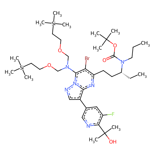 CCCN(C(=O)OC(C)(C)C)[C@H](CC)CCc1nc2c(-c3cnc(C(C)(C)O)c(F)c3)cnn2c(N(COCC[Si](C)(C)C)COCC[Si](C)(C)C)c1Br